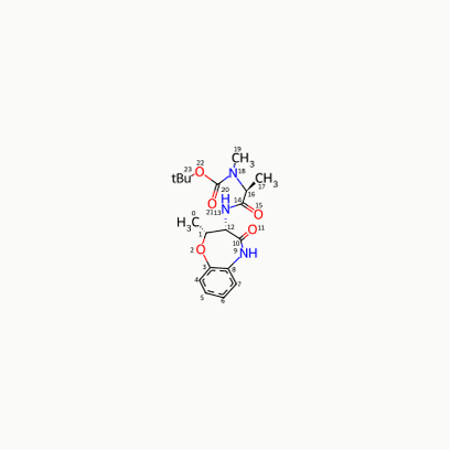 C[C@H]1Oc2ccccc2NC(=O)[C@H]1NC(=O)[C@H](C)N(C)C(=O)OC(C)(C)C